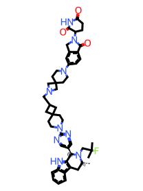 C[C@@H]1Cc2c([nH]c3ccccc23)[C@@H](c2cnc(N3CCC4(CC3)CC(CN3CC5(CCN(c6ccc7c(c6)CN(C6CCC(=O)NC6=O)C7=O)CC5)C3)C4)nc2)N1CC(C)(C)F